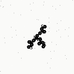 c1cc(-c2nc(-c3ccc(-n4c5ccccc5c5c6c(ccc54)sc4ccccc46)cc3)nc3ccc(-c4ccc(-n5c6ccccc6c6c7c(ccc65)sc5ccccc57)cc4)cc23)cc(-n2c3ccccc3c3c4c(ccc32)sc2ccccc24)c1